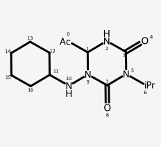 CC(=O)C1NC(=O)N(C(C)C)C(=O)N1NC1CCCCC1